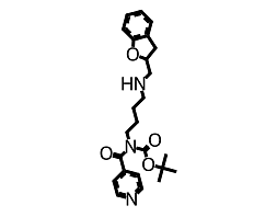 CC(C)(C)OC(=O)N(CCCCNCC1Cc2ccccc2O1)C(=O)c1ccncc1